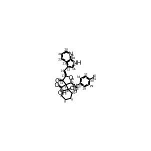 O=C(O)C1(C2(O)CCCCC2)C(=O)/C(=C/c2c[nH]c3ncccc23)OC1Nc1ccc(F)cc1